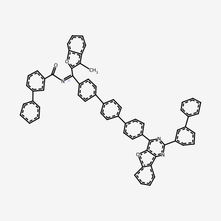 Cc1c(/C(=N\C(=O)c2cccc(-c3ccccc3)c2)c2ccc(-c3ccc(-c4ccc(-c5nc(-c6cccc(-c7ccccc7)c6)nc6c5oc5ccccc56)cc4)cc3)cc2)oc2ccccc12